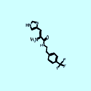 NC(=Cc1c[nH]cn1)C(=O)NCCc1ccc(C(F)(F)F)cc1